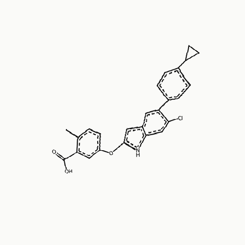 Cc1ccc(Oc2cc3cc(-c4ccc(C5CC5)cc4)c(Cl)cc3[nH]2)cc1C(=O)O